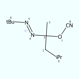 CC(C)CC(C)(/N=N/C(C)(C)C)OC#N